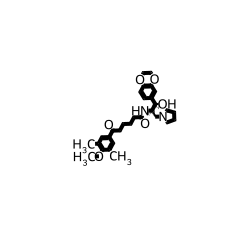 COc1c(C)cc(C(=O)CCCCC(=O)N[C@H](CN2CCCC2)[C@H](O)c2ccc3c(c2)OCCO3)cc1C